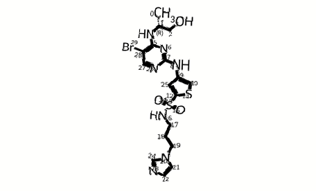 C[C@H](CO)Nc1nc(Nc2csc(S(=O)(=O)NCCCn3ccnc3)c2)ncc1Br